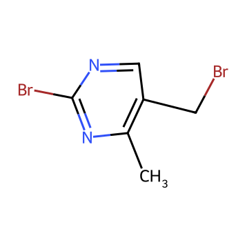 Cc1nc(Br)ncc1CBr